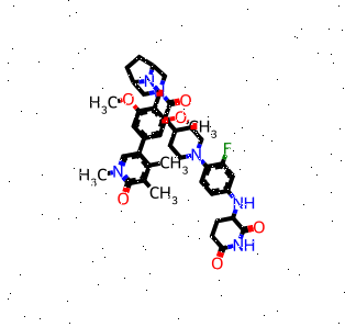 COc1cc(-c2cn(C)c(=O)c(C)c2C)cc(OC)c1CN1C2CCC1CN(C(=O)CC1CCN(c3ccc(NC4CCC(=O)NC4=O)cc3F)CC1)C2